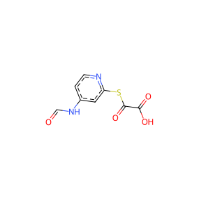 O=CNc1ccnc(SC(=O)C(=O)O)c1